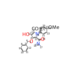 CCOC(=O)c1c(O)c(OCc2ccccc2)c(C(=O)N(C)C)n1-c1ccc(OC)cc1